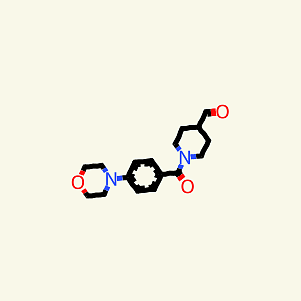 O=CC1CCN(C(=O)c2ccc(N3CCOCC3)cc2)CC1